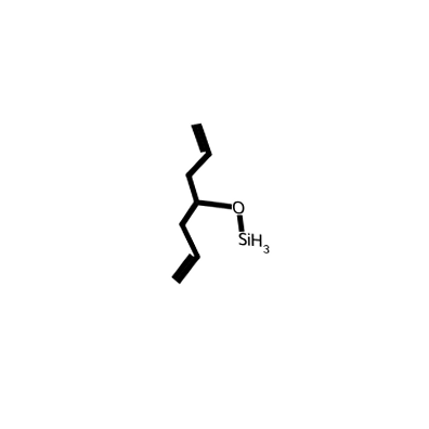 C=CCC(CC=C)O[SiH3]